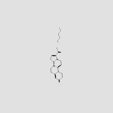 CCCCCOCC(=O)C1=CC[C@H]2[C@@H]3CCC4=CC(=O)CC[C@]4(C)C3=CC[C@]12C